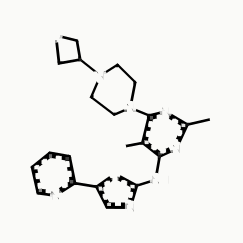 Cc1nc(Nc2ncc(-c3ccccn3)s2)c(F)c(N2CCN(C3COC3)CC2)n1